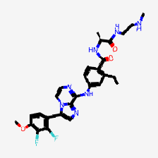 CCc1cc(Nc2nccn3c(-c4ccc(OC)c(F)c4F)cnc23)ccc1C(=O)N[C@@H](C)C(=O)NCCNC